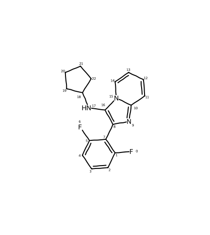 Fc1cccc(F)c1-c1nc2ccccn2c1NC1CCCC1